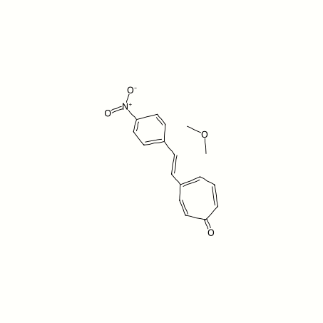 COC.O=c1cccc(C=Cc2ccc([N+](=O)[O-])cc2)cc1